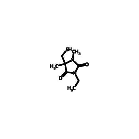 CCN1C(=O)N(C)C(C)(CS)C1=O